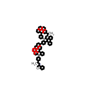 C=C/C=C\c1cc2ccc(-c3ccc(-c4cc5ccccc5c5ccccc45)c(N(C(=C)CCC(=C)c4ccc(-c5ccccc5)cc4)c4cccc(-c5cc6ccccc6c6ccccc56)c4)c3)cc2cc1-c1cccc(N(c2ccc(C(=C)/C=C(\C=C)c3ccccc3)cc2)c2ccccc2-c2cc3ccccc3c3ccccc23)c1